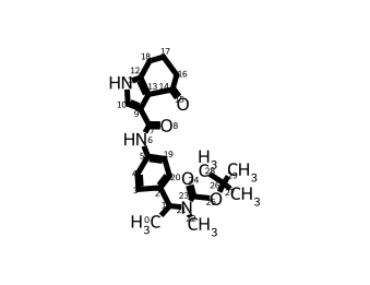 CC(c1ccc(NC(=O)c2c[nH]c3c2C(=O)CCC3)cc1)N(C)C(=O)OC(C)(C)C